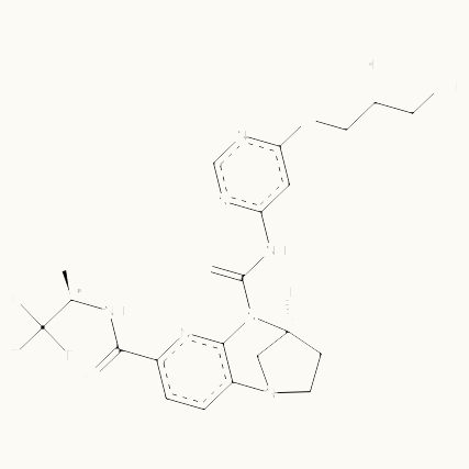 C[C@@H](NC(=O)c1ccc2c(n1)N(C(=O)Nc1cc(OC[C@H](O)CO)ncn1)[C@H]1CCN2C1)C(F)(F)F